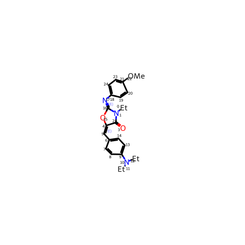 CCN1C(=O)/C(=C\c2ccc(N(CC)CC)cc2)O/C1=N/c1ccc(OC)cc1